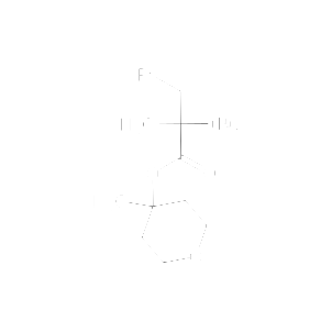 CC(C)CC(C)(C(=O)OC1(C)CCOCC1)C(C)(C)C